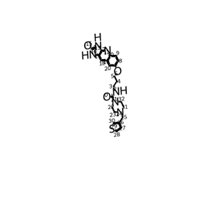 O=C(NCCCOc1ccc2nc3[nH]c(=O)[nH]c3cc2c1)N1CCN(Cc2ccsc2)CC1